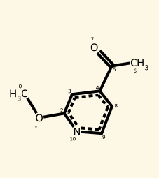 COc1cc(C(C)=O)ccn1